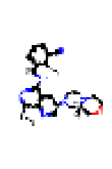 Cc1c(C#N)cccc1[C@@H](C)Nc1nnc(C)c2ncc(N3CCN4CCOC[C@@H]4C3)cc12